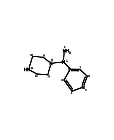 NN(c1ccncc1)N1CCNCC1